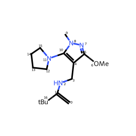 C=C(NCc1c(OC)nn(C)c1N1CCCC1)C(C)(C)C